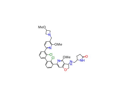 COc1nc(-c2cccc(-c3cccc(-c4cc5c(c(OC)n4)C(NCC4CCC(=O)N4)CO5)c3Cl)c2Cl)ccc1CN1CC(OC)C1